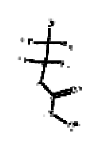 CCCCSC(=O)CC(F)(F)C(F)(F)C(F)(F)F